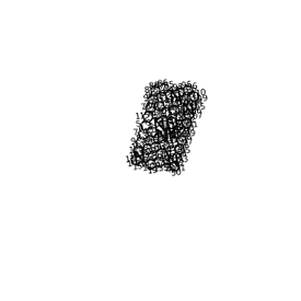 O=[N+]([O-])C1c2c3c4cc5cc6cc7cc8cccc9c%10ccc%11c%12c%13c%14c%15c%16c([nH]c1c1c%16c%16c%14c(c%12%10)c(c7c%16c6c1c25)n89)=CC1C%15=C2C%13C(=C5C=CC=C6C=C7C=C8C=C9C=c%10cc%12c%13c%14c%15c%16c%17c%18c%19c%20c(cc-3c3c(cc%21c(c3%20)C3C%20=c%22c%23c(ccc%22=CCC%20=C%21)C%20=Cc%21ccc%22c%24c%21C(C%16C%16C%24C(=CC(=C%12)N%14%16)C=C%22)N%20C%17C%23C%193)C4)c3ccc(c%13c%10=C4C=NC=C(C8=C1C7C2N65)C94)c%15c%183)C=%11